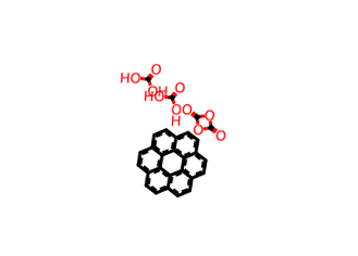 O=C(O)O.O=C(O)O.O=C1OC(=O)O1.c1cc2ccc3ccc4ccc5ccc6ccc1c1c2c3c4c5c61